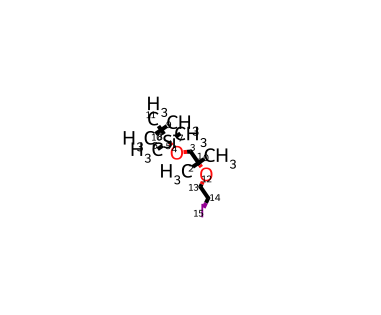 CC(C)(CO[Si](C)(C)C(C)(C)C)OCCI